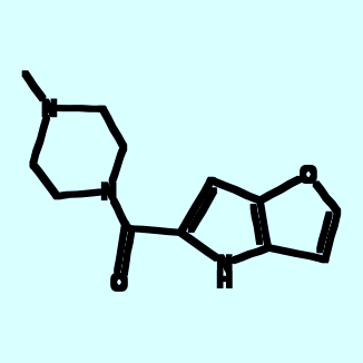 CN1CCN(C(=O)c2cc3occc3[nH]2)CC1